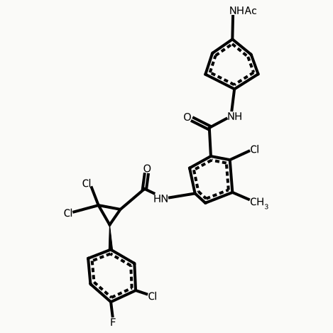 CC(=O)Nc1ccc(NC(=O)c2cc(NC(=O)C3[C@@H](c4ccc(F)c(Cl)c4)C3(Cl)Cl)cc(C)c2Cl)cc1